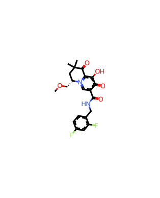 COC[C@@H]1CC(C)(C)C(=O)c2c(O)c(=O)c(C(=O)NCc3ccc(F)cc3F)cn21